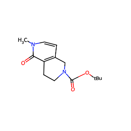 Cn1ccc2c(c1=O)CCN(C(=O)OC(C)(C)C)C2